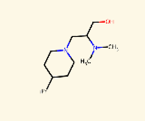 CC(C)C1CCN(CC(CO)N(C)C)CC1